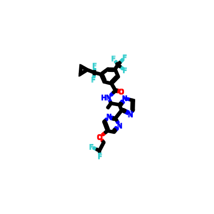 CC(NC(=O)c1cc(C(F)(F)F)cc(C(F)(F)C2CC2)c1)c1nccnc1-c1ncc(OCC(F)F)cn1